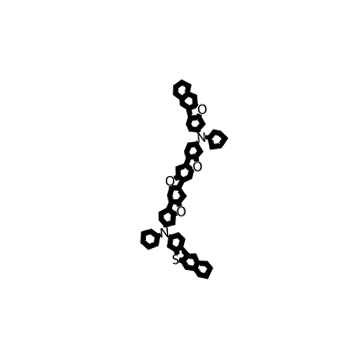 c1ccc(N(c2ccc3c(c2)oc2cc4ccccc4cc23)c2ccc3c(c2)oc2cc4c(cc23)oc2cc3c(cc24)oc2cc(N(c4ccccc4)c4ccc5c(c4)sc4cc6ccccc6cc45)ccc23)cc1